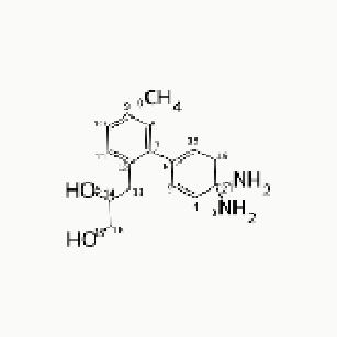 C.NC1(N)C=CC(c2ccccc2CC(O)CO)=CC1